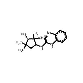 CC1(C)CC(NC(=N)Nc2ccccc2Br)C(C)(C)N1O